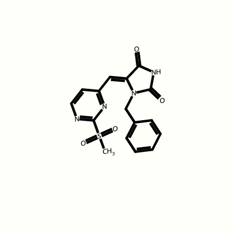 CS(=O)(=O)c1nccc(C=C2C(=O)NC(=O)N2Cc2ccccc2)n1